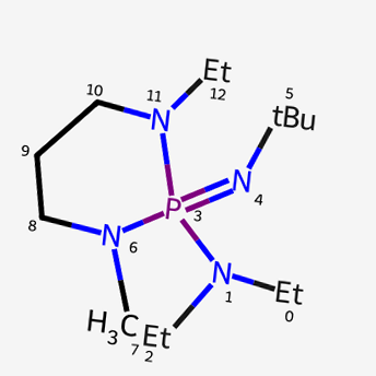 CCN(CC)P1(=NC(C)(C)C)N(C)CCCN1CC